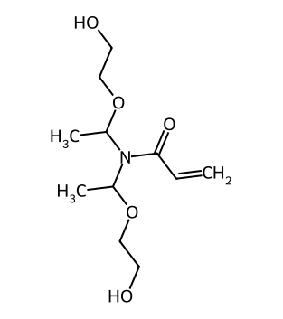 C=CC(=O)N(C(C)OCCO)C(C)OCCO